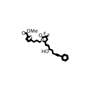 COC(=O)c1ccc(CCCN2C(=O)C(F)(F)CC2C=CC(O)CCC#Cc2ccccc2)s1